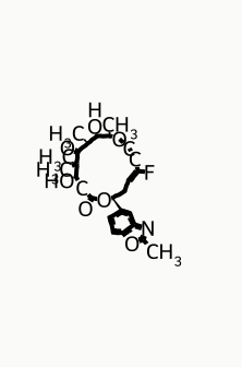 Cc1nc2cc([C@@H]3C/C=C(\F)CCO[C@@H](C)[C@@H](O)[C@@H](C)C(=O)C(C)(C)[C@@H](O)CC(=O)O3)ccc2o1